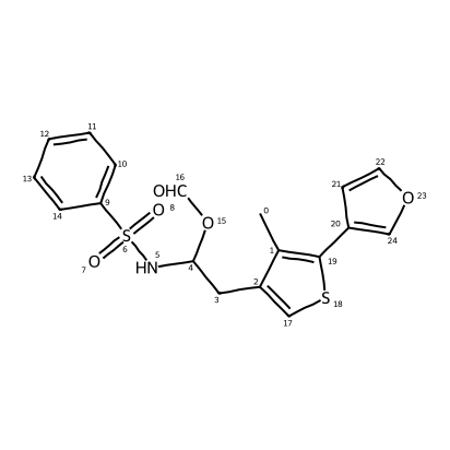 Cc1c(CC(NS(=O)(=O)c2ccccc2)OC=O)csc1-c1ccoc1